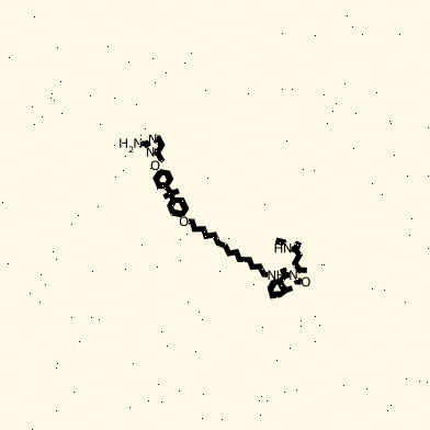 C=CNC(=C)CCC(C)N(C=O)C(=C)c1c(C)cccc1NCCCCCCCCCCCCCCOc1ccc(C(C)(C)c2ccc(OCc3ccnc(N)n3)cc2)cc1